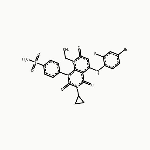 CCn1c(=O)cc(Nc2ccc(Br)cc2F)c2c(=O)n(C3CC3)c(=O)n(-c3ccc(S(C)(=O)=O)cc3)c21